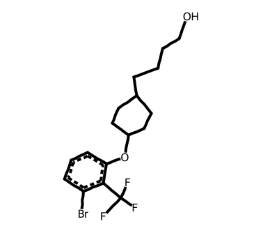 OCCCCC1CCC(Oc2cccc(Br)c2C(F)(F)F)CC1